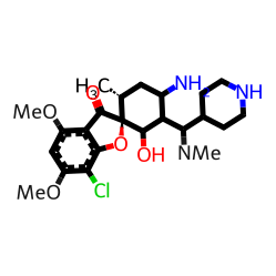 CNC(C1CCNCC1)C1C(N)C[C@@H](C)[C@]2(Oc3c(Cl)c(OC)cc(OC)c3C2=O)C1O